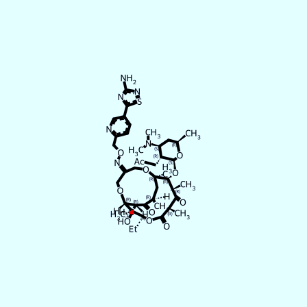 CC[C@H]1OC(=O)[C@H](C)C(=O)[C@H](C)[C@@H](O[C@@H]2O[C@H](C)C[C@H](N(C)C)[C@H]2CC(C)=O)[C@@]2(C)C[C@@H](C)C(=O)[C@H](C)[C@@H](OCC(=NOCc3ccc(-c4nc(N)ns4)cn3)CO2)[C@]1(C)O